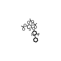 CC(=O)O[C@@H]1[C@@H](OC(C)=O)[C@@H](Oc2cnc(-c3ccccc3)c(F)c2)SC[C@H]1OC(C)=O